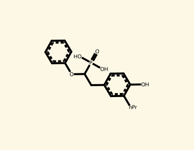 CCCc1cc(CC(Oc2ccccc2)P(=O)(O)O)ccc1O